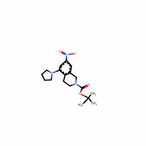 CC(C)(C)OC(=O)N1CCc2c(cc([N+](=O)[O-])cc2N2CCCC2)C1